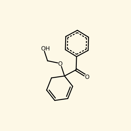 O=C(c1ccccc1)C1(OCO)C=CC=CC1